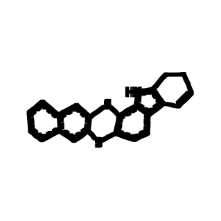 C1=Cc2c([nH]c3c4c(ccc23)Sc2cc3ccccc3cc2S4)CC1